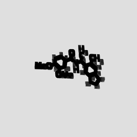 COc1ccc(C(=O)NC(C)c2cc3c(cc2C)CCC3)cc1OC